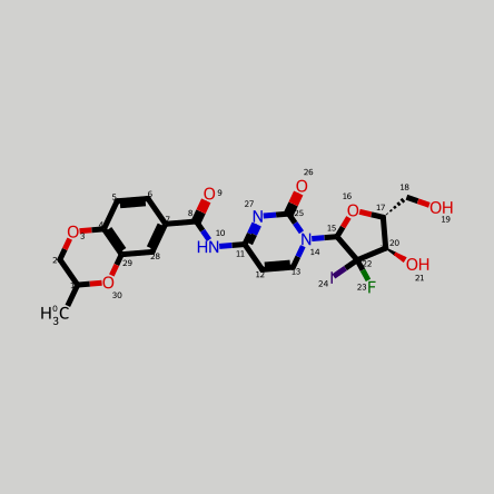 CC1COc2ccc(C(=O)Nc3ccn(C4O[C@H](CO)[C@@H](O)C4(F)I)c(=O)n3)cc2O1